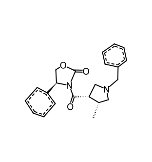 C[C@H]1CN(Cc2ccccc2)C[C@H]1C(=O)N1C(=O)OC[C@@H]1c1ccccc1